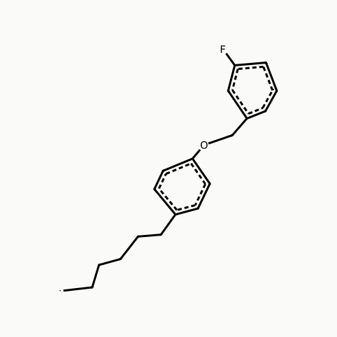 [CH2]CCCCCc1ccc(OCc2cccc(F)c2)cc1